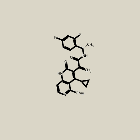 C=C(C(=O)N[C@@H](C)c1ccc(F)cc1F)c1c(C2CC2)c2c(OC)nccc2[nH]c1=O